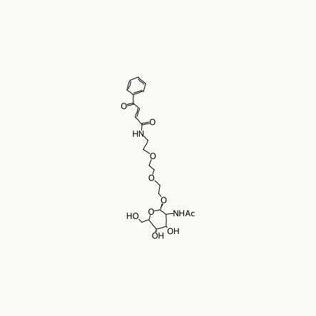 CC(=O)NC1C(O)[C@@H](O)C(CO)O[C@H]1OCCOCCOCCNC(=O)/C=C/C(=O)c1ccccc1